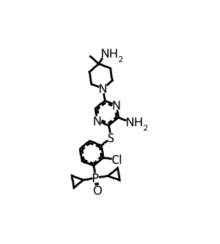 CC1(N)CCN(c2cnc(Sc3cccc(P(=O)(C4CC4)C4CC4)c3Cl)c(N)n2)CC1